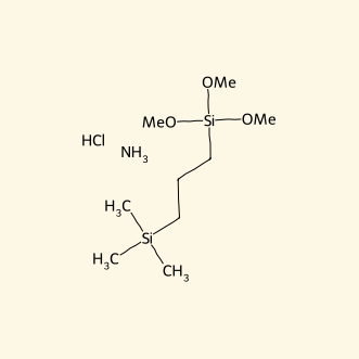 CO[Si](CCC[Si](C)(C)C)(OC)OC.Cl.N